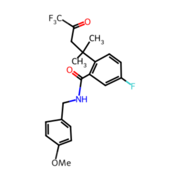 COc1ccc(CNC(=O)c2cc(F)ccc2C(C)(C)CC(=O)C(F)(F)F)cc1